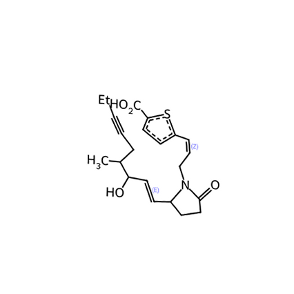 CCC#CCC(C)C(O)/C=C/C1CCC(=O)N1C/C=C\c1ccc(C(=O)O)s1